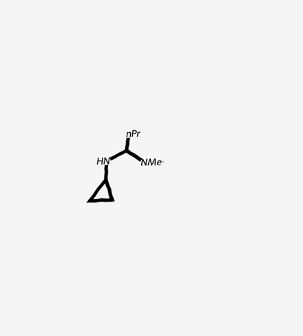 CCCC([N]C)NC1CC1